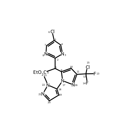 CCOC(=O)C(c1ncc(Cl)cn1)c1cc(C(F)(F)Cl)nn1-c1ccnn1C